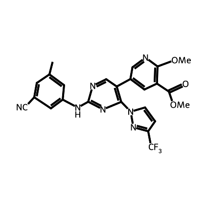 COC(=O)c1cc(-c2cnc(Nc3cc(C)cc(C#N)c3)nc2-n2ccc(C(F)(F)F)n2)cnc1OC